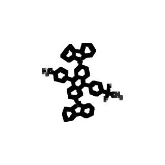 CC(F)(F)c1ccc(-c2c3ccc(-n4c5ccccc5c5ccccc54)cc3c(-c3ccc(C(F)(F)F)cc3)c3ccc(-n4c5ccccc5c5ccccc54)cc23)cc1